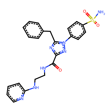 NS(=O)(=O)c1ccc(-n2nc(C(=O)NCCNc3ccccn3)nc2Cc2ccccc2)cc1